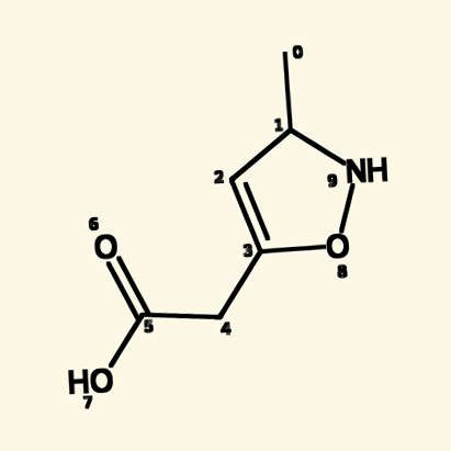 CC1C=C(CC(=O)O)ON1